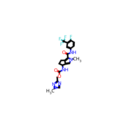 Cn1cnc(COC(=O)NC2CCc3c2cn(C)c3C(=O)Nc2ccc(F)c(C(F)(F)F)c2)n1